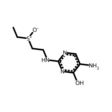 CC[S+]([O-])CCNc1ncc(N)c(O)n1